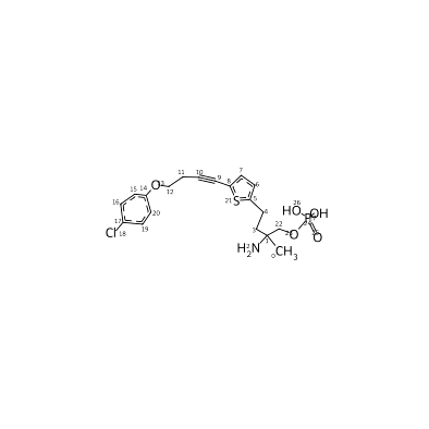 CC(N)(CCc1ccc(C#CCCOc2ccc(Cl)cc2)s1)COP(=O)(O)O